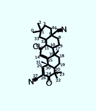 CC1(C)CCC2(C#N)CCC3C(C(=O)C=C4C3(C)CCC3C(C)(C)C(=O)C(C#N)=C[C@]43C)C2C1